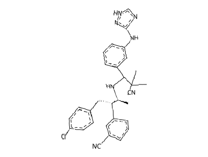 C[C@H](NC(c1cccc(Nc2nc[nH]n2)c1)C(C)(C)C#N)[C@@H](Cc1ccc(Cl)cc1)c1cccc(C#N)c1